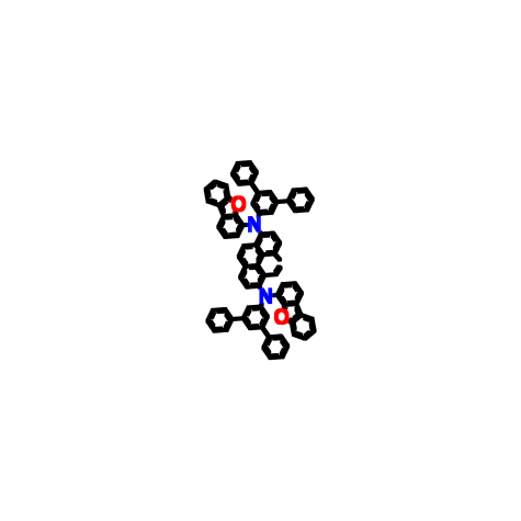 C=Cc1c(N(c2cc(-c3ccccc3)cc(-c3ccccc3)c2)c2cccc3c2oc2ccccc23)ccc2ccc3c(N(c4cc(-c5ccccc5)cc(-c5ccccc5)c4)c4cccc5c4oc4ccccc45)ccc(C)c3c12